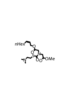 CCCCCC/C=C\COC(=O)CN(CC(=O)OC)C(=O)SCCN(C)C